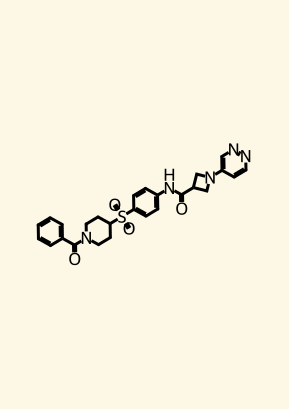 O=C(Nc1ccc(S(=O)(=O)C2CCN(C(=O)c3ccccc3)CC2)cc1)C1CN(c2ccnnc2)C1